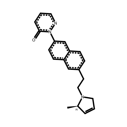 C[C@@H]1C=CCN1CCc1ccc2cc(-n3ncccc3=O)ccc2c1